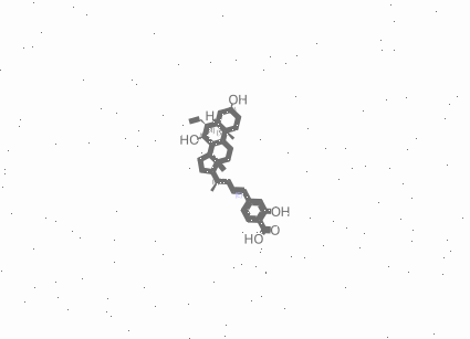 CC[C@H]1[C@@H](O)C2C3CCC([C@H](C)C/C=C/c4ccc(C(=O)O)c(O)c4)C3(C)CCC2[C@@]2(C)CC[C@@H](O)C[C@@H]12